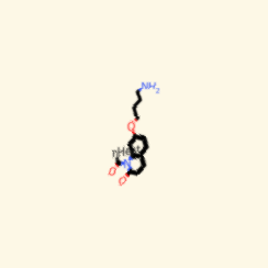 CCCCCCCC(=O)n1c(=O)ccc2ccc(OCCCCN)cc21